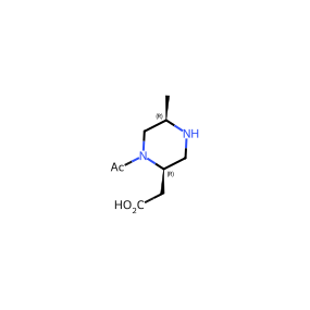 CC(=O)N1C[C@@H](C)NC[C@H]1CC(=O)O